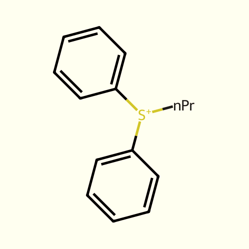 CCC[S+](c1ccccc1)c1ccccc1